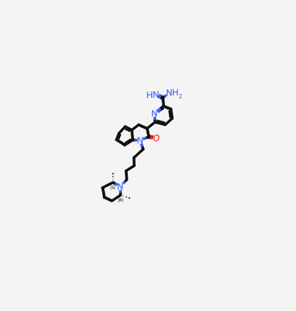 C[C@@H]1CCC[C@H](C)N1CCCCCN1C(=O)C(c2cccc(C(=N)N)n2)Cc2ccccc21